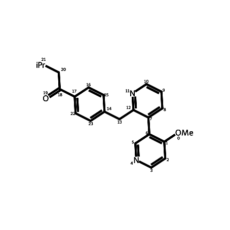 COc1ccncc1-c1cccnc1Cc1ccc(C(=O)CC(C)C)cc1